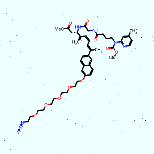 C=C(/C=C\C=C(/C)c1ccc2cc(OCCOCCOCCOCCOCCN=[N+]=[N-])ccc2c1)[C@H](CC(=O)OC)NC(=O)CNC(=O)CCCN(C(=O)OC(C)(C)C)c1cc(C)ccn1